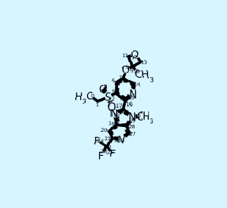 CCS(=O)(=O)c1cc(OC2(C)COC2)cnc1-c1nc2cc(C(F)(F)F)ncc2n1C